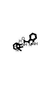 CC1(C)[C@H](NC(=O)c2n[nH]c3ccccc23)C2CCN1CC2